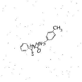 Cc1ccc(SNC(=O)NC(=S)c2ccccc2)cc1